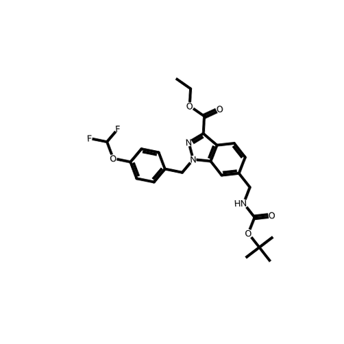 CCOC(=O)c1nn(Cc2ccc(OC(F)F)cc2)c2cc(CNC(=O)OC(C)(C)C)ccc12